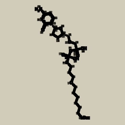 CCCCCCCCCCCCCCCCOCCCOP(=O)(O)OP(=O)(O)COC[C@H]1O[C@@H](n2ccc(N)nc2=O)CS1